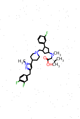 CC(C)[C@H](C(=O)O)N(C)C1CC(CN2CCC(c3cc(Cc4ccc(F)c(F)c4)nn3C)CC2)C(c2cccc(F)c2)C1